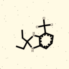 CCC1(CC)Nc2cccc(C(Cl)(Cl)Cl)c2N1